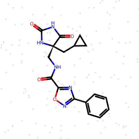 O=C1NC(=O)[C@](CNC(=O)c2nc(-c3ccccc3)no2)(CC2CC2)N1